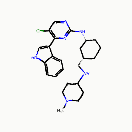 CN1CCC(NC[C@H]2CCC[C@@H](Nc3ncc(Cl)c(-c4c[nH]c5ccccc45)n3)C2)CC1